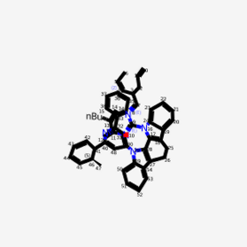 C=CCC(/C=C\C)/C=N/C(=N\C(=C)C(=C)CCCC)n1c2c(c3ccccc31)CCc1c-2n(-c2cc(-c3ccccc3)nc(C3C=CC=C[C@@H]3C)c2)c2ccccc12